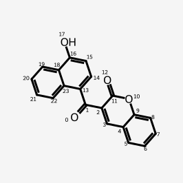 O=C(c1cc2ccccc2oc1=O)c1ccc(O)c2ccccc12